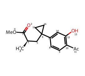 COC(=O)[C@H](C)CC1(c2ccc(C(C)=O)c(O)c2)CC1